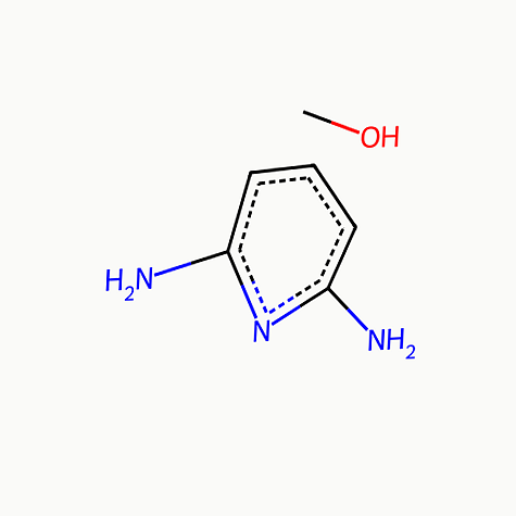 CO.Nc1cccc(N)n1